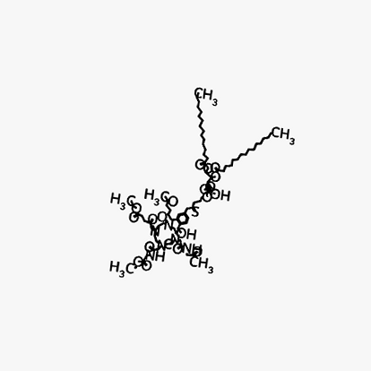 CCCCCCCCCCCCCCCC(=O)OCC(COP(=O)(O)OCCCC(=S)Cc1ccc(CO)c(C(C(=O)CCC(C)=O)N2CCN(CC(=O)CCC(=O)OCC)CCN(CC(=O)NCC(=O)OCC)CCN(CC(=O)NCC(C)=O)CC2)c1)OC(=O)CCCCCCCCCCCCCCC